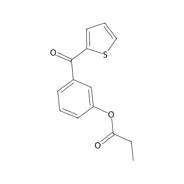 CCC(=O)Oc1cccc(C(=O)c2cccs2)c1